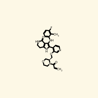 C=CC(=O)N1CCOC[C@H]1COc1cnccc1-c1[nH]c2c(c1Nc1cccc(F)c1C)C(=O)NCC2